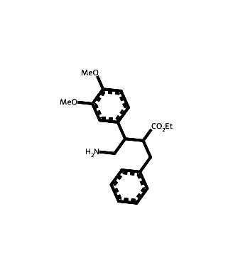 CCOC(=O)C(Cc1ccccc1)C(CN)c1ccc(OC)c(OC)c1